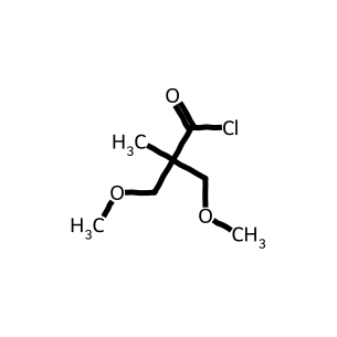 COCC(C)(COC)C(=O)Cl